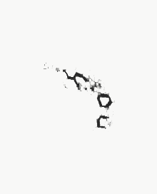 CC(=O)SCC(=O)c1ccc(NS(=O)(=O)c2ccc(Oc3ccccn3)cc2)nc1